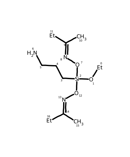 CCO[Si](CCCN)(ON=C(C)CC)ON=C(C)CC